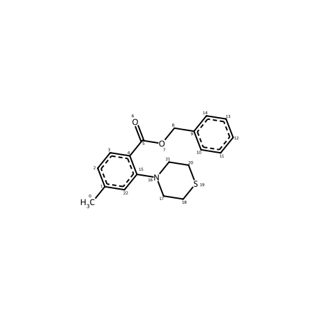 Cc1ccc(C(=O)OCc2ccccc2)c(N2CCSCC2)c1